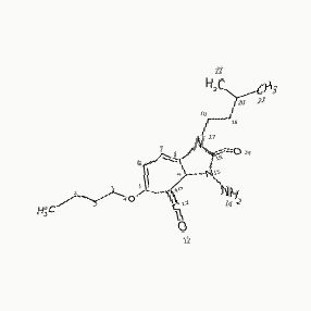 CCCCOC1=CC=C2C(C1=C=O)N(N)C(=O)N2CCC(C)C